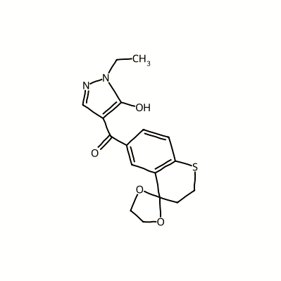 CCn1ncc(C(=O)c2ccc3c(c2)C2(CCS3)OCCO2)c1O